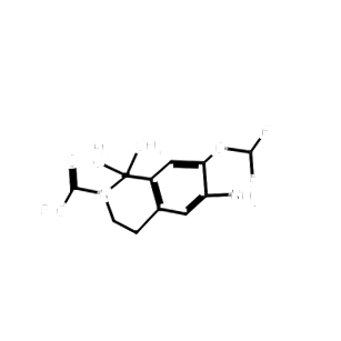 CC1(C)c2cc(OC(F)F)c(N)cc2CCN1C(=O)C(F)(F)F